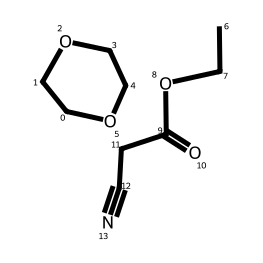 C1COCCO1.CCOC(=O)CC#N